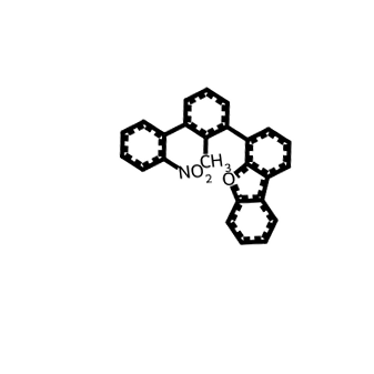 Cc1c(-c2ccccc2[N+](=O)[O-])cccc1-c1cccc2c1oc1ccccc12